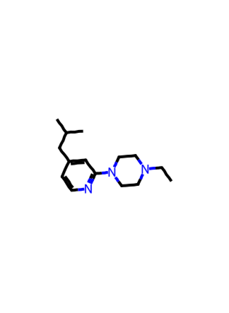 CCN1CCN(c2cc(CC(C)C)ccn2)CC1